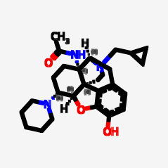 CC(=O)N[C@@]12CC[C@@H](N3CCCCC3)[C@@H]3Oc4c(O)ccc5c4[C@@]31CCN(CC1CC1)[C@@H]2C5